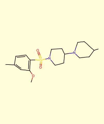 COc1cc(C)ccc1S(=O)(=O)N1CCC(N2CCC(C)CC2)CC1